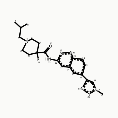 CC(C)CN1CCC(F)(C(=O)Nc2cc3cc(-c4cn(C)nn4)ccc3nn2)CC1